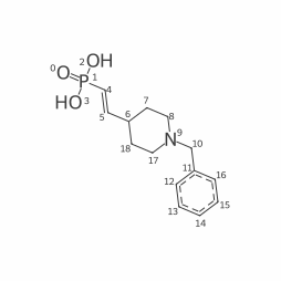 O=P(O)(O)/C=C/C1CCN(Cc2ccccc2)CC1